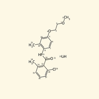 COCCOc1ccc(PC(=O)c2c(C)cccc2Cl)c(C)c1.[LiH]